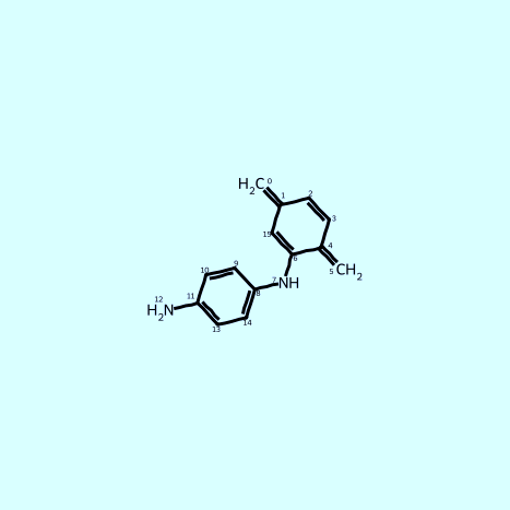 C=c1ccc(=C)c(Nc2ccc(N)cc2)c1